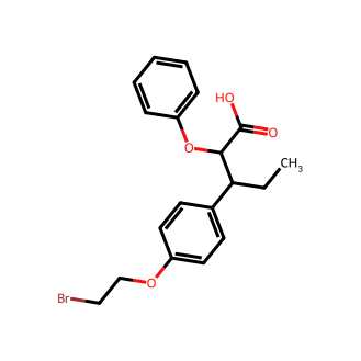 CCC(c1ccc(OCCBr)cc1)C(Oc1ccccc1)C(=O)O